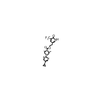 C[C@H]1CN(c2ncc(C3CC3)cn2)C[C@H](C)N1C(=O)OCCc1c[nH]c(=O)c(C(F)(F)F)c1